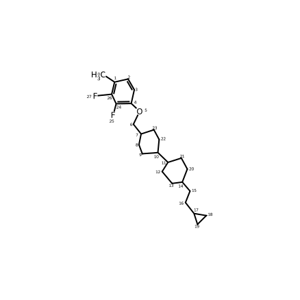 Cc1ccc(OCC2CCC(C3CCC(CCC4CC4)CC3)CC2)c(F)c1F